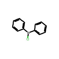 [Cl][Bi]([c]1ccccc1)[c]1ccccc1